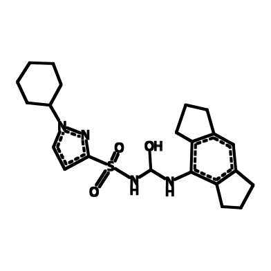 O=S(=O)(NC(O)Nc1c2c(cc3c1CCC3)CCC2)c1ccn(C2CCCCC2)n1